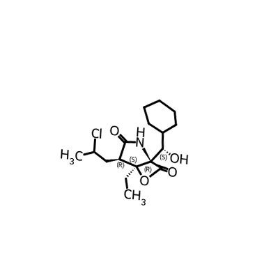 CC[C@@]12OC(=O)[C@]1([C@@H](O)C1CCCCC1)NC(=O)[C@@H]2CC(C)Cl